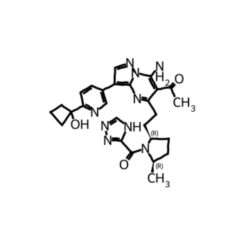 CC(=O)c1c(CC[C@H]2CC[C@@H](C)N2C(=O)c2nnc[nH]2)nc2c(-c3ccc(C4(O)CCC4)nc3)cnn2c1N